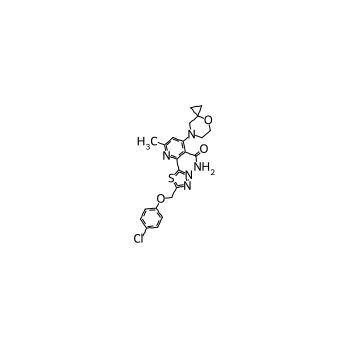 Cc1cc(N2CCOC3(CC3)C2)c(C(N)=O)c(-c2nnc(COc3ccc(Cl)cc3)s2)n1